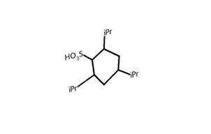 CC(C)C1CC(C(C)C)C(S(=O)(=O)O)C(C(C)C)C1